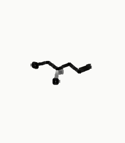 C=CC[C@H]([O])C[O]